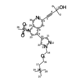 CC(C)(O)C#Cc1cc2c(-c3cnn(COCCS(C)(C)C)c3)cn(S(C)(=O)=O)c2cn1